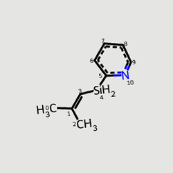 CC(C)=C[SiH2]c1ccccn1